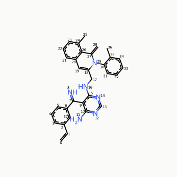 C=Cc1cccc(C(=N)c2c(N)ncnc2NCC2=Cc3cccc(C)c3C(=C)N2c2ccccc2C)c1